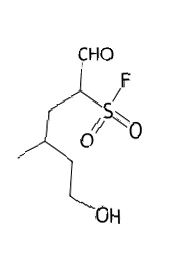 CC(CCO)CC(C=O)S(=O)(=O)F